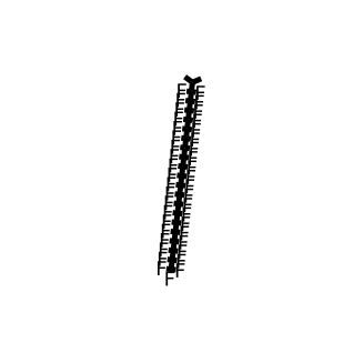 CC(C)C(F)(F)C(F)(F)C(F)(F)C(F)(F)C(F)(F)C(F)(F)C(F)(F)C(F)(F)C(F)(F)C(F)(F)C(F)(F)C(F)(F)C(F)(F)C(F)(F)C(F)(F)C(F)(F)C(F)(F)C(F)(F)C(F)(F)C(F)(F)F